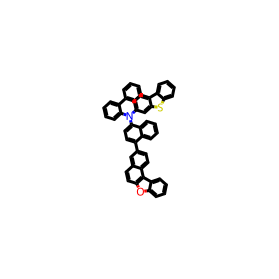 c1ccc(-c2ccccc2N(c2ccc3c(c2)sc2ccccc23)c2ccc(-c3ccc4c(ccc5oc6ccccc6c54)c3)c3ccccc23)cc1